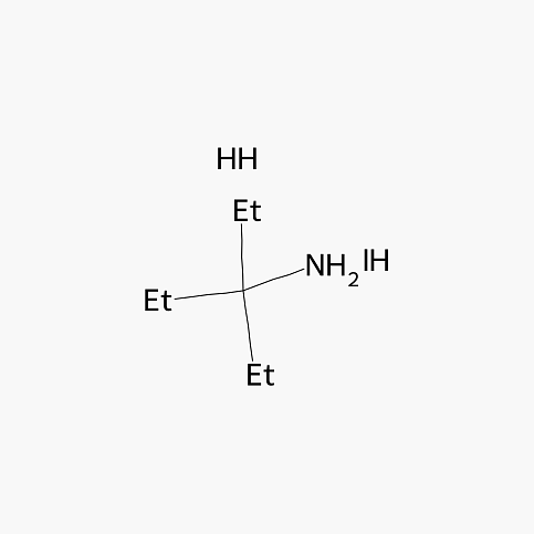 CCC(N)(CC)CC.I.[HH]